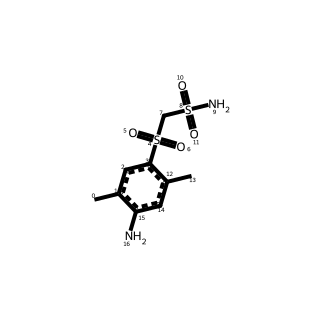 Cc1cc(S(=O)(=O)CS(N)(=O)=O)c(C)cc1N